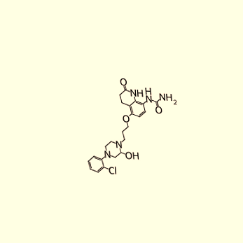 NC(=O)Nc1ccc(OCCCN2CCN(c3ccccc3Cl)CC2O)c2c1NC(=O)CC2